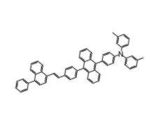 Cc1cccc(N(c2ccc(-c3c4ccccc4c(-c4ccc(/C=C/c5ccc(-c6ccccc6)c6ccccc56)cc4)c4ccccc34)cc2)c2cccc(C)c2)c1